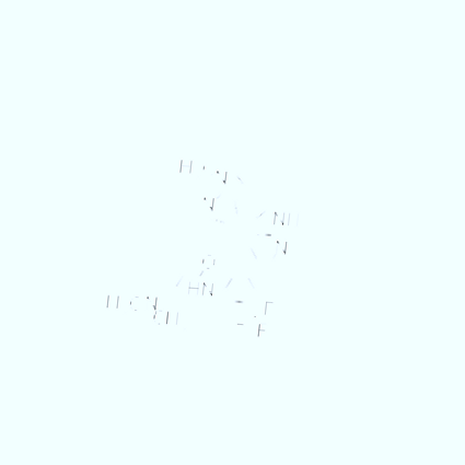 CN(C)C/C=C/C(=O)Nc1cc(-c2cnc3[nH]cc(-c4ccnc5c4ccn5C)c3c2)cc(C(F)(F)F)c1